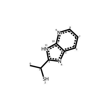 CC(S)c1nc2cccnc2[nH]1